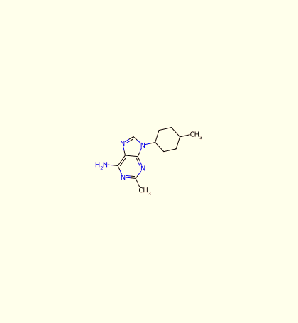 Cc1nc(N)c2ncn(C3CCC(C)CC3)c2n1